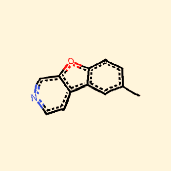 Cc1ccc2oc3cnccc3c2c1